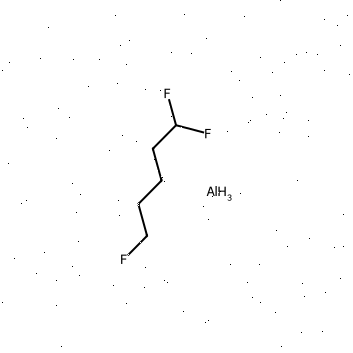 FCCCCC(F)F.[AlH3]